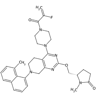 C=C(F)C(=O)N1CCN(c2nc(OC[C@@H]3CCC(=O)N3C)nc3c2CCN(c2cccc4cccc(C)c24)C3)CC1